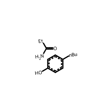 CCC(N)=O.CCCCc1ccc(O)cc1